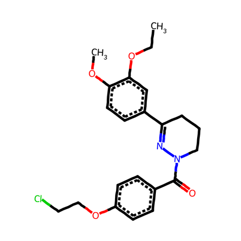 CCOc1cc(C2=NN(C(=O)c3ccc(OCCCl)cc3)CCC2)ccc1OC